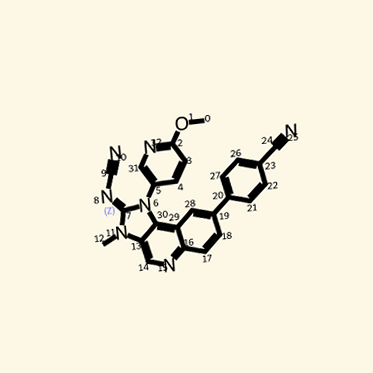 COc1ccc(-n2/c(=N\C#N)n(C)c3cnc4ccc(-c5ccc(C#N)cc5)cc4c32)cn1